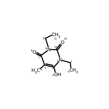 CCn1c(O)c(C)c(=O)n(CC)c1=O